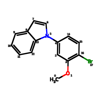 COc1cc(-n2ccc3ccccc32)ccc1Br